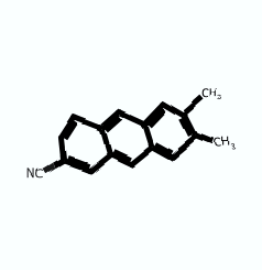 Cc1cc2cc3ccc(C#N)cc3cc2cc1C